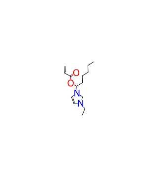 C=CC(=O)OC(CCCCC)N1C=CN(CC)C1